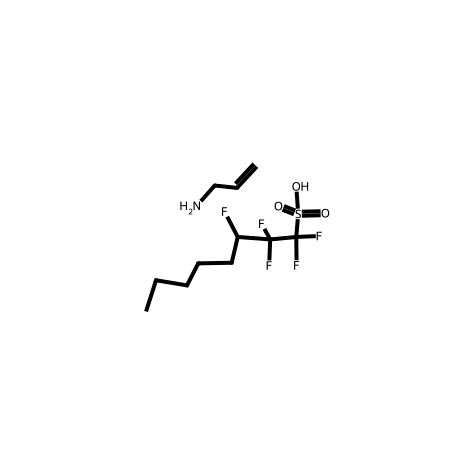 C=CCN.CCCCCC(F)C(F)(F)C(F)(F)S(=O)(=O)O